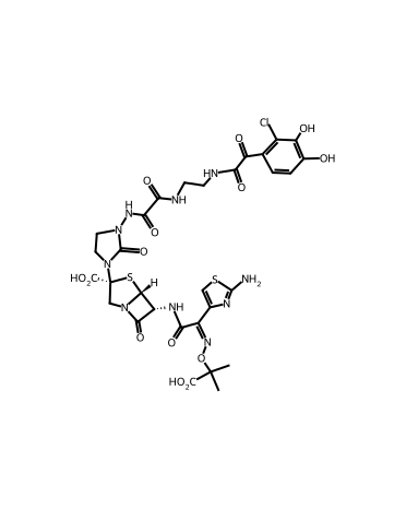 CC(C)(O/N=C(\C(=O)N[C@@H]1C(=O)N2C[C@@](C(=O)O)(N3CCN(NC(=O)C(=O)NCCNC(=O)C(=O)c4ccc(O)c(O)c4Cl)C3=O)S[C@H]12)c1csc(N)n1)C(=O)O